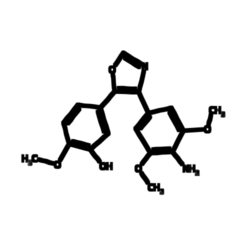 COc1ccc(-c2ocnc2-c2cc(OC)c(N)c(OC)c2)cc1O